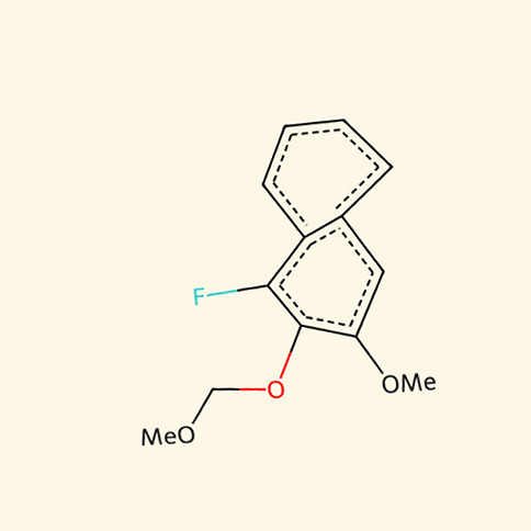 COCOc1c(OC)cc2ccccc2c1F